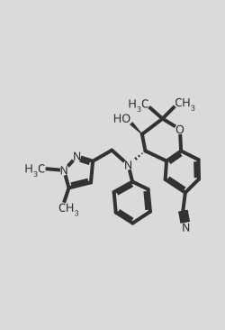 Cc1cc(CN(c2ccccc2)[C@H]2c3cc(C#N)ccc3OC(C)(C)[C@@H]2O)nn1C